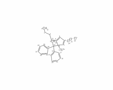 CCCCC1=CC=C[C]1([Ti+3])C(C)(c1ccccc1)c1ccccc1.[Cl-].[Cl-].[Cl-]